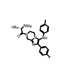 CCCC[C@H](NC)C(=O)N1CCn2c(nc(-c3ccc(F)cc3)c2Nc2ccc(C)cc2)C1